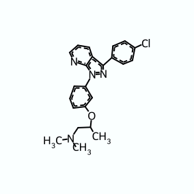 CC(CN(C)C)Oc1cccc(-n2nc(-c3ccc(Cl)cc3)c3cccnc32)c1